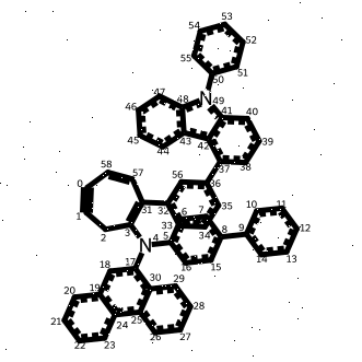 C1#CCC(N(c2ccc(-c3ccccc3)cc2)c2cc3ccccc3c3ccccc23)=C(c2cccc(-c3cccc4c3c3ccccc3n4-c3ccccc3)c2)C=C1